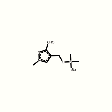 Cn1cc(CO[Si](C)(C)C(C)(C)C)c(C=O)n1